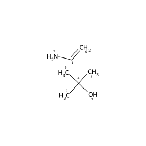 C=CN.CC(C)(C)O